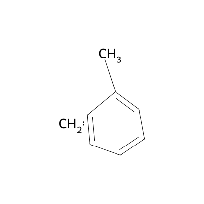 Cc1ccccc1.[CH2]